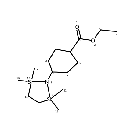 CCOC(=O)C1CCC(N2[Si](C)(C)CC[Si]2(C)C)CC1